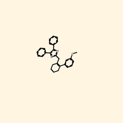 COc1cccc(C2=C(Cc3nc(-c4ccccc4)c(-c4ccccc4)o3)CCCC2)c1